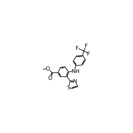 COC(=O)c1ccc(Nc2ccc(C(F)(F)F)cc2)c(-c2nccs2)c1